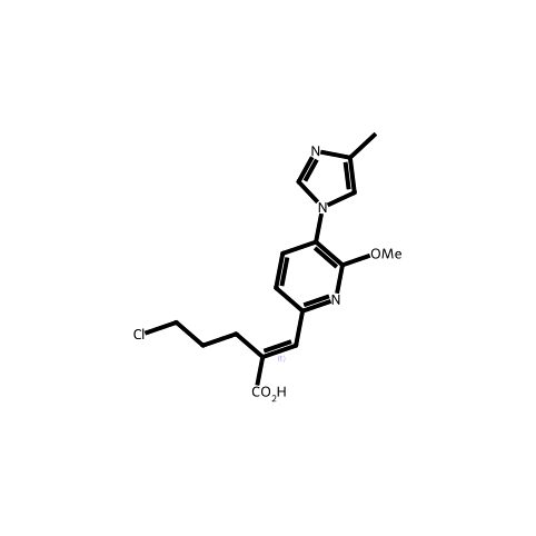 COc1nc(/C=C(\CCCCl)C(=O)O)ccc1-n1cnc(C)c1